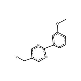 COc1cccc(-c2ncc(CBr)cn2)c1